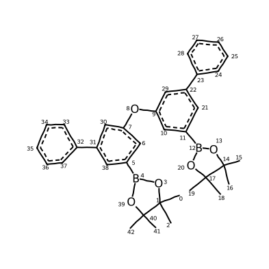 CC1(C)OB(c2cc(Oc3cc(B4OC(C)(C)C(C)(C)O4)cc(-c4ccccc4)c3)cc(-c3ccccc3)c2)OC1(C)C